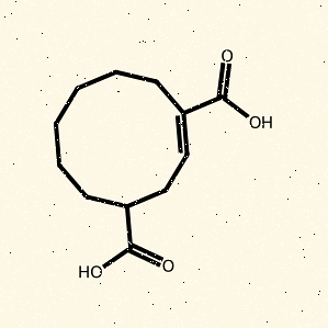 O=C(O)C1=CCC(C(=O)O)CCCCCC1